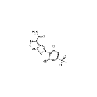 CS(=O)(=O)c1cc(Cl)c(-n2cc3c(C(N)=O)nccc3n2)c(Cl)c1